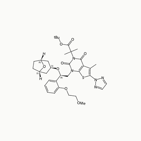 COCCOc1ccccc1[C@H](Cn1c(=O)n(C(C)(C)C(=O)OC(C)(C)C)c(=O)c2c(C)c(-n3nccn3)sc21)O[C@@H]1C[C@H]2CC[C@@H](C1)O2